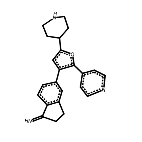 N=C1CCc2cc(-c3cc(C4CCNCC4)oc3-c3ccncc3)ccc21